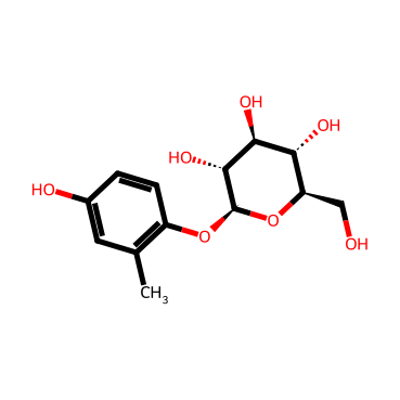 Cc1cc(O)ccc1O[C@@H]1O[C@H](CO)[C@@H](O)[C@H](O)[C@H]1O